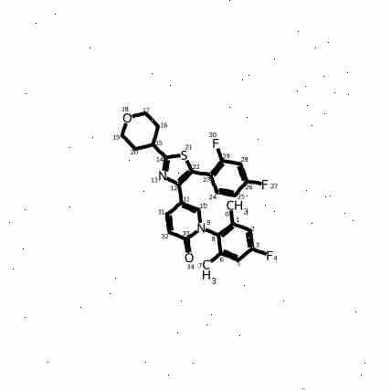 Cc1cc(F)cc(C)c1-n1cc(-c2nc(C3CCOCC3)sc2-c2ccc(F)cc2F)ccc1=O